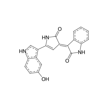 O=C1NC(c2c[nH]c3ccc(O)cc23)=CC1=C1C(=O)Nc2ccccc21